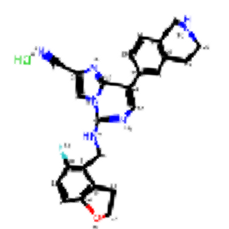 Cl.N#Cc1cn2c(NCc3c(F)ccc4c3CCO4)ncc(-c3ccc4c(c3)CCNC4)c2n1